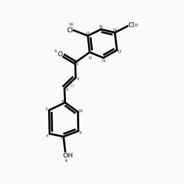 O=C(/C=C/c1ccc(O)cc1)c1ccc(Cl)cc1Cl